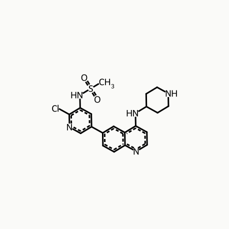 CS(=O)(=O)Nc1cc(-c2ccc3nccc(NC4CCNCC4)c3c2)cnc1Cl